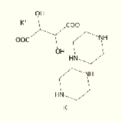 C1CNCCN1.C1CNCCN1.O=C([O-])C(O)C(O)C(=O)[O-].[K+].[K+]